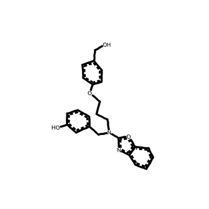 OCc1ccc(OCCCN(Cc2cccc(O)c2)c2nc3ccccc3o2)cc1